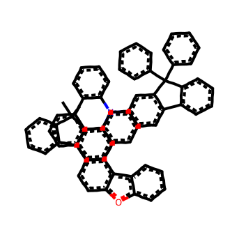 CC1(C)c2ccccc2-c2cccc(N(c3ccc4c(c3)C(c3ccccc3)(c3ccccc3)c3ccccc3-4)c3ccccc3-c3cccc4c5ccc6oc7ccccc7c6c5c5ccccc5c34)c21